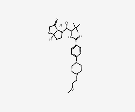 COCCN1CCN(c2ccc(C(=O)NC(C(=O)N3CC[C@@H]4OCC(=O)[C@H]43)C(C)(C)C)cc2)CC1